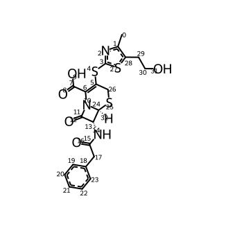 Cc1nc(SC2=C(C(=O)O)N3C(=O)[C@@H](NC(=O)Cc4ccccc4)[C@@H]3SC2)sc1CCO